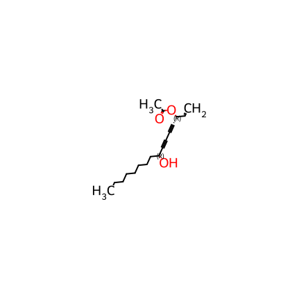 C=C[C@H](C#CC#C[C@H](O)CCCCCCCC)OC(C)=O